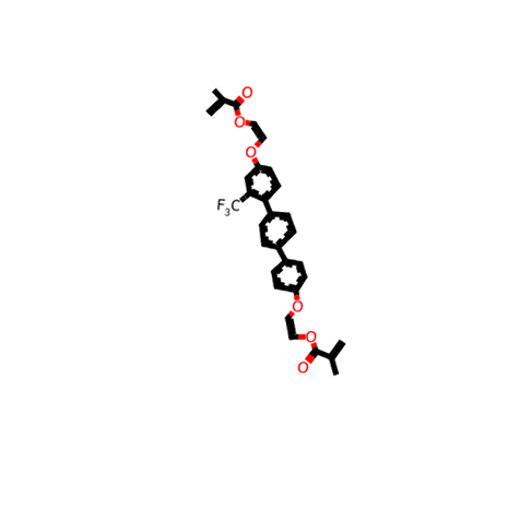 C=C(C)C(=O)O/C=C\Oc1ccc(-c2ccc(-c3ccc(O/C=C\OC(=O)C(=C)C)cc3C(F)(F)F)cc2)cc1